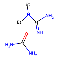 CCN(CC)C(=N)N.NC(N)=O